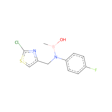 CB(O)N(Cc1csc(Cl)n1)c1ccc(F)cc1